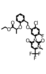 CCOC(=O)C(C)Oc1ccccc1COc1cc(-n2c(=O)cc(C(F)(F)F)n(C)c2=O)c(F)cc1Cl